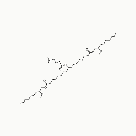 CCCCCCCC(COC(=O)CCCCCCCC(CCCCCCCC(=O)OCC(CCCCCCC)OC)OC(=O)CCCN(C)C)OC